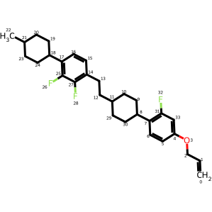 C=CCOc1ccc(C2CCC(CCc3ccc(C4CCC(C)CC4)c(F)c3F)CC2)c(F)c1